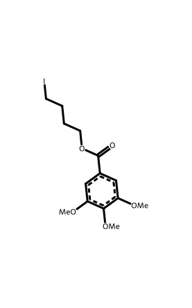 COc1cc(C(=O)OCCCCI)cc(OC)c1OC